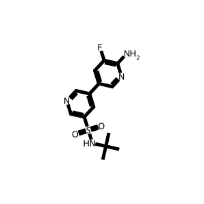 CC(C)(C)NS(=O)(=O)c1cncc(-c2cnc(N)c(F)c2)c1